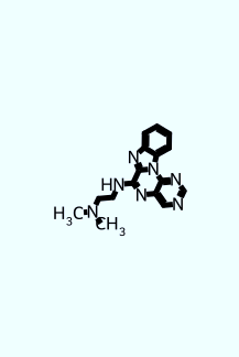 CN(C)CCNc1nc2cncnc2n2c1nc1ccccc12